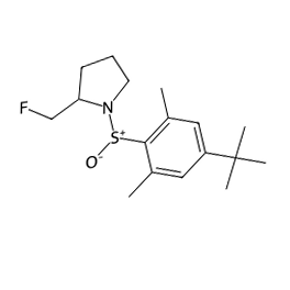 Cc1cc(C(C)(C)C)cc(C)c1[S+]([O-])N1CCCC1CF